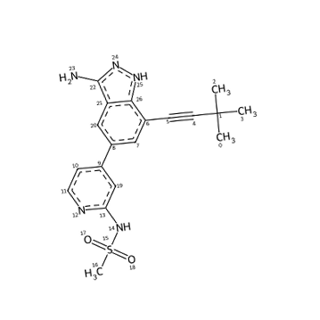 CC(C)(C)C#Cc1cc(-c2ccnc(NS(C)(=O)=O)c2)cc2c(N)n[nH]c12